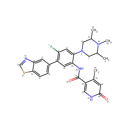 CC1CN(c2cc(F)c(-c3ccc4scnc4c3)cc2NC(=O)c2c[nH]c(=O)cc2C(F)(F)F)CC(C)N1C